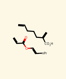 C=CC(=O)OC=CCCC.C=CCCCC(=C)C(=O)O